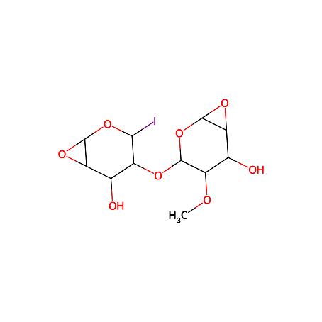 COC1C(OC2C(I)OC3OC3C2O)OC2OC2C1O